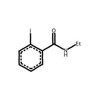 CCNC(=O)c1ccccc1I